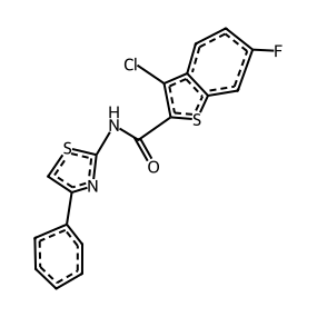 O=C(Nc1nc(-c2ccccc2)cs1)c1sc2cc(F)ccc2c1Cl